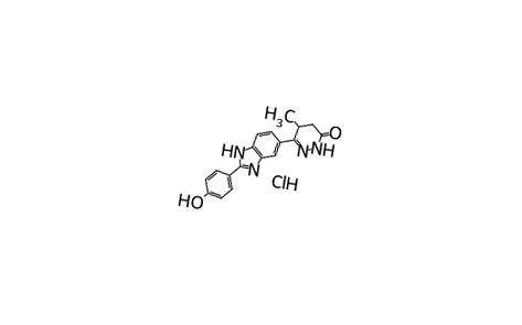 CC1CC(=O)NN=C1c1ccc2[nH]c(-c3ccc(O)cc3)nc2c1.Cl